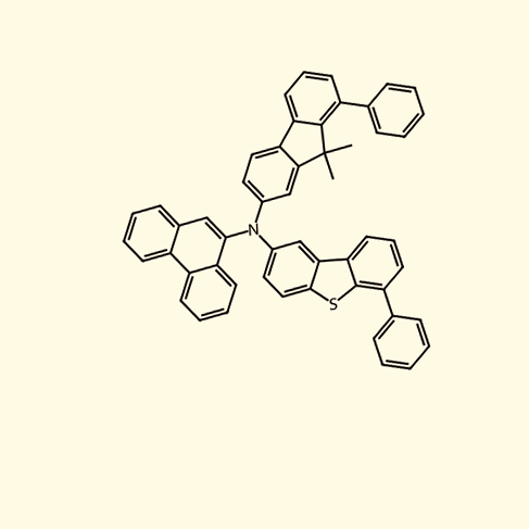 CC1(C)c2cc(N(c3ccc4sc5c(-c6ccccc6)cccc5c4c3)c3cc4ccccc4c4ccccc34)ccc2-c2cccc(-c3ccccc3)c21